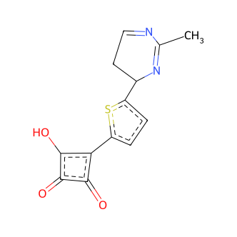 CC1=NC(c2ccc(-c3c(O)c(=O)c3=O)s2)CC=N1